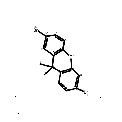 CC1(C)c2ccc(Br)cc2Oc2ccc(Br)cc21